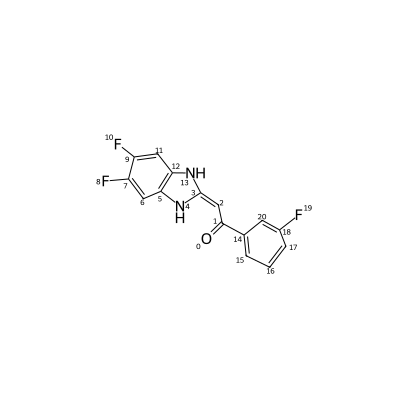 O=C(C=C1Nc2cc(F)c(F)cc2N1)c1cccc(F)c1